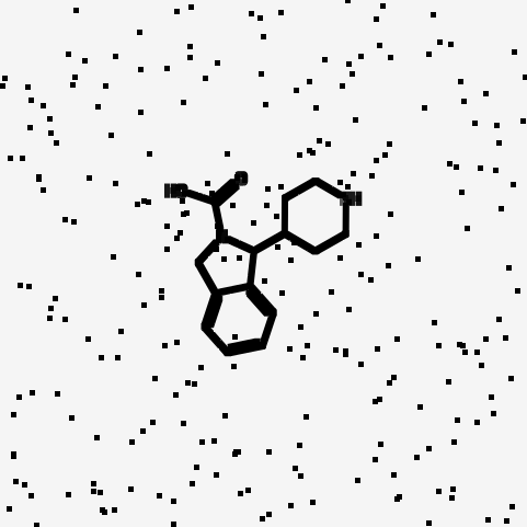 O=C(O)N1Cc2ccccc2C1C1CCNCC1